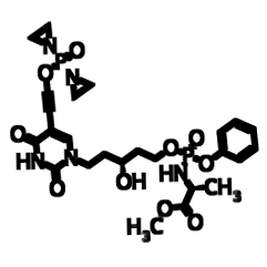 COC(=O)[C@H](C)NP(=O)(OCC[C@@H](O)CCn1cc(C#COP(=O)(N2CC2)N2CC2)c(=O)[nH]c1=O)Oc1ccccc1